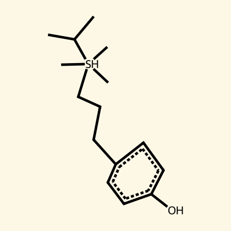 CC(C)[SH](C)(C)(C)CCCc1ccc(O)cc1